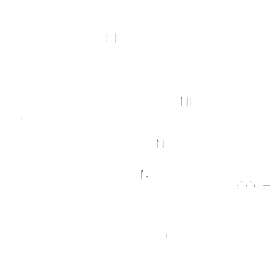 NCc1ccc(Cl)cc1Cl.O=C(O)c1cnn(-c2ccc(F)cc2)c1C(F)(F)F